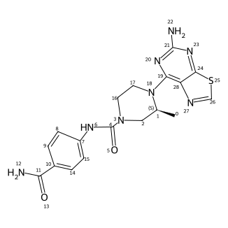 C[C@H]1CN(C(=O)Nc2ccc(C(N)=O)cc2)CCN1c1nc(N)nc2scnc12